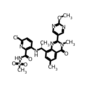 COc1ncc(-c2nc3c([C@@H](C)Nc4ccc(Cl)nc4C(=O)NS(C)(=O)=O)cc(C)cc3c(=O)n2C)cn1